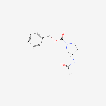 CC(C)C(=O)N[C@@H]1CCN(C(=O)OCc2ccccc2)C1